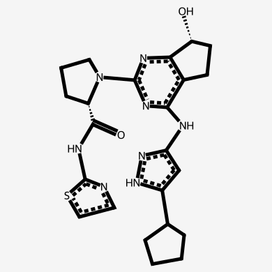 O=C(Nc1nccs1)[C@@H]1CCCN1c1nc(Nc2cc(C3CCCC3)[nH]n2)c2c(n1)[C@H](O)CC2